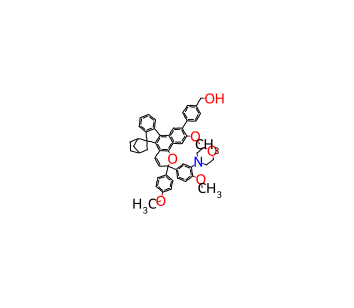 COc1ccc(C2(c3ccc(OC)c(N4CCOCC4)c3)C=Cc3c4c(c5cc(-c6ccc(CO)cc6)c(OC)cc5c3O2)-c2ccccc2C42CC3CCC2C3)cc1